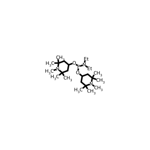 CCN(CC)P(OC1CC(C)(C)N(C)C(C)(C)C1)OC1CC(C)(C)N(C)C(C)(C)C1